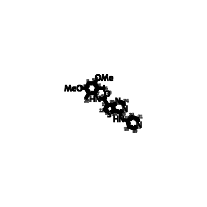 COc1cc(OC)c(I)c(NC(=O)c2csc3c(Nc4ccncc4)ncnc23)c1C